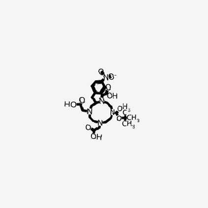 CC(C)(C)OC(=O)N1CCN(CC(=O)O)CCN(CC(=O)O)CC(Cc2ccc([N+](=O)[O-])cc2)N(CC(=O)O)CC1